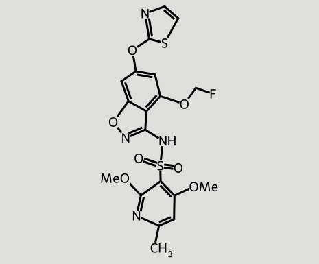 COc1cc(C)nc(OC)c1S(=O)(=O)Nc1noc2cc(Oc3nccs3)cc(OCF)c12